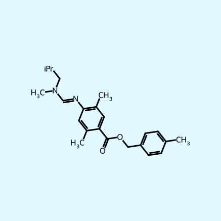 Cc1ccc(COC(=O)c2cc(C)c(/N=C/N(C)CC(C)C)cc2C)cc1